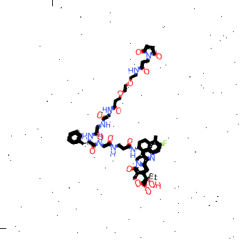 CC[C@@]1(O)C(=O)OCc2c1cc1n(c2=O)Cc2c-1nc1cc(F)c(C)c3c1c2[C@@H](NC(=O)CCNC(=O)CNC(=O)[C@H](Cc1ccccc1)NC(=O)CNC(=O)CNC(=O)CCOCCOCCNC(=O)CCN1C(=O)C=CC1=O)CC3